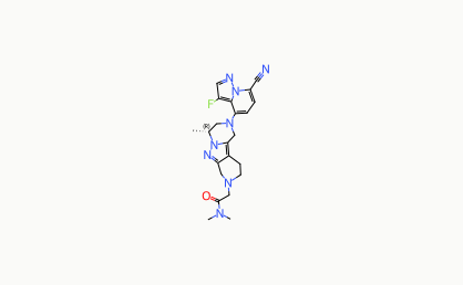 C[C@@H]1CN(c2ccc(C#N)n3ncc(F)c23)Cc2c3c(nn21)CN(CC(=O)N(C)C)CC3